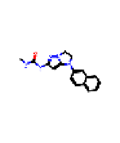 CNC(=O)Nc1cc2n(n1)CCN2c1ccc2ccccc2c1